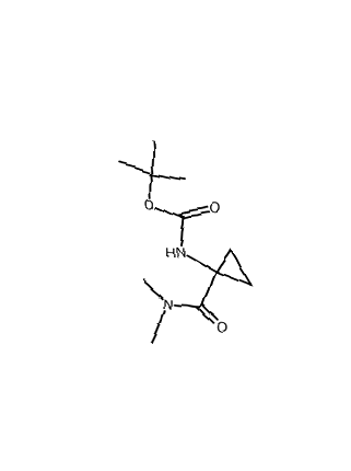 CN(C)C(=O)C1(NC(=O)OC(C)(C)C)CC1